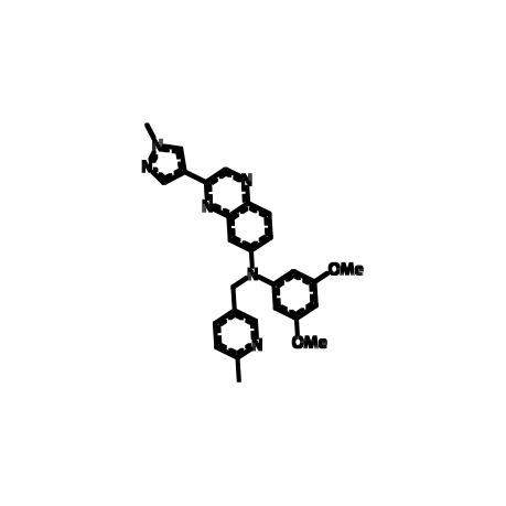 COc1cc(OC)cc(N(Cc2ccc(C)nc2)c2ccc3ncc(-c4cnn(C)c4)nc3c2)c1